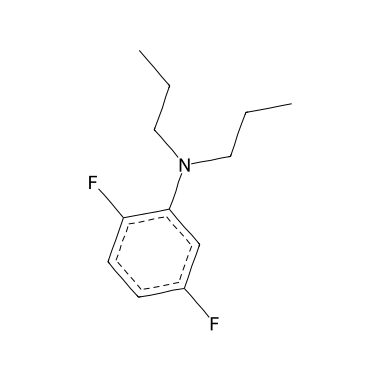 CCCN(CCC)c1cc(F)ccc1F